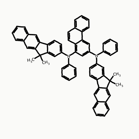 CC1(C)c2cc(N(c3ccccc3)c3cc(N(c4ccccc4)c4ccc5c(c4)C(C)(C)c4cc6ccccc6cc4-5)c4ccc5ccccc5c4c3)ccc2-c2cc3ccccc3cc21